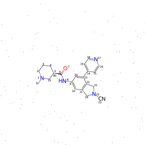 CN1CCC[C@@H](C(=O)Nc2cc3c(c(-c4ccncc4)c2)CN(C#N)C3)C1